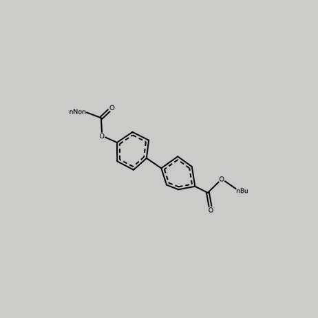 CCCCCCCCCC(=O)Oc1ccc(-c2ccc(C(=O)OCCCC)cc2)cc1